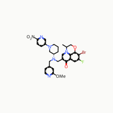 COc1cc(CN(Cc2cn3c4c(c(Br)c(F)cc4c2=O)OCC3C)[C@H]2CCCN(c3ccc([N+](=O)[O-])nc3)C2)ccn1